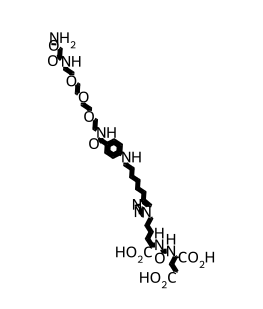 NOCC(=O)NCCOCCOCCOCCNC(=O)c1ccc(NCCCCCCc2cn(CCCC[C@H](NC(=O)N[C@@H](CCC(=O)O)C(=O)O)C(=O)O)nn2)cc1